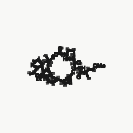 CCn1c(-c2cccnc2[C@H](C)OC)c2c3cc(ccc31)C1CSC(=N1)C[C@H](NC(=O)N(C)CCOC)C(=O)N1CCC[C@H](N1)C(=O)OCC(C)(C)C2